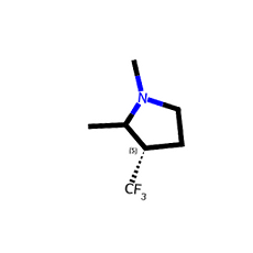 CC1[C@@H](C(F)(F)F)CCN1C